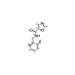 O=C(NCc1ncccc1F)c1cnco1